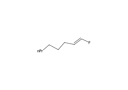 CCCCCCC=CF